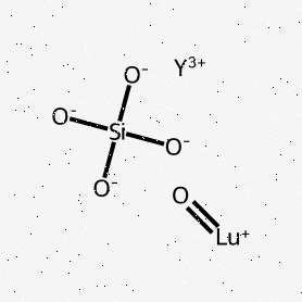 [O-][Si]([O-])([O-])[O-].[O]=[Lu+].[Y+3]